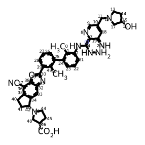 Cc1c(N/C(NN)=C2\N=CC(CN3CC[C@@H](O)C3)=CC2=N)cccc1-c1cccc(-c2nc3cc4c(c(C#N)c3o2)CC[C@H]4N2CC[C@@H](C(=O)O)C2)c1C